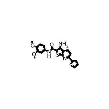 COc1ccc(NC(=O)c2sc3nc(-c4cccs4)ccc3c2N)cc1OC